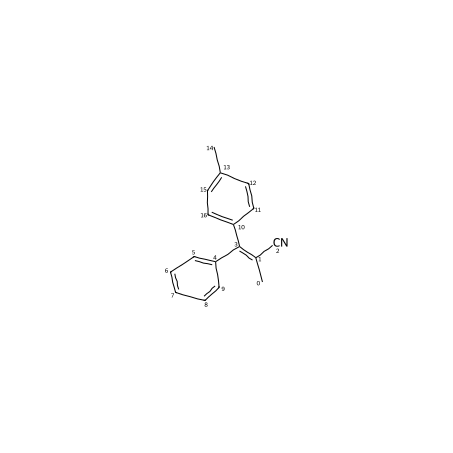 CC(C#N)=C(c1ccccc1)c1ccc(C)cc1